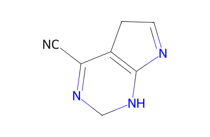 N#CC1=NCNC2=C1CC=N2